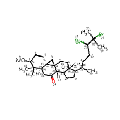 CC(=O)O[C@H]1CC[C@]23C[C@]24CC[C@]2(C)[C@@H]([C@H](C)CCC(Br)C(C)(C)Br)CC[C@@]2(C)[C@@H]4C(=O)C[C@H]3C1(C)C